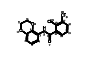 O=C(Nc1cccc2c1OCCO2)c1cccc(C(F)(F)F)c1Cl